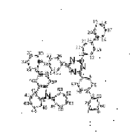 c1ccc(-c2ccc(-c3nc(-c4ccc(-c5ccccc5)cc4)nc(-c4ccc(-c5ccccc5-c5ccc6c(c5)c5ccccc5n6-c5ccccc5)cc4)n3)cc2)cc1